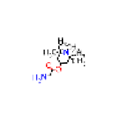 CN1C(C)(C)CC(OC(=O)CN)CC1(C)C